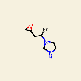 CC[C](CC1CO1)N1CCNC1